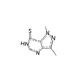 Cc1nn(C)c2c(=S)[nH]cnc12